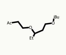 CCC(C)OCCC(CC)OCCC(C)=O